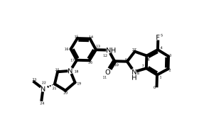 Cc1ccc(F)c2c1NC(C(=O)Nc1cccc(N3CC[C@H](N(C)C)C3)c1)C2